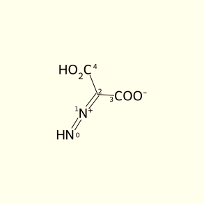 N=[N+]=C(C(=O)[O-])C(=O)O